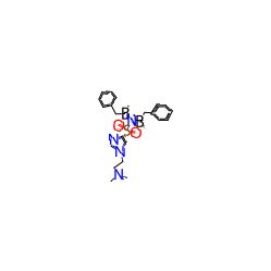 CB(Cc1ccccc1)N(B(C)Cc1ccccc1)S(=O)(=O)c1cn(CCN(C)C)cn1